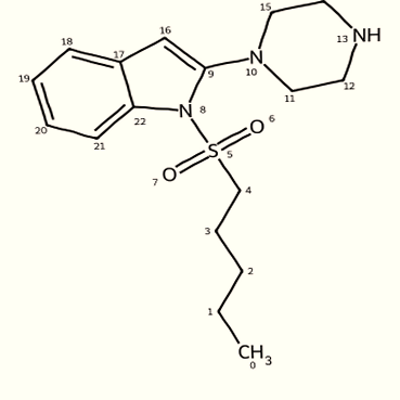 CCCCCS(=O)(=O)n1c(N2CCNCC2)cc2ccccc21